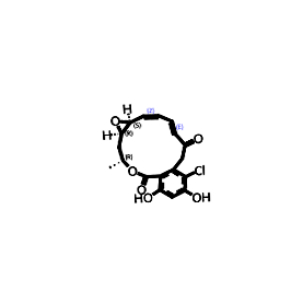 C[C@@H]1C[C@H]2O[C@H]2/C=C\C=C\C(=O)Cc2c(Cl)c(O)cc(O)c2C(=O)O1